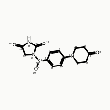 O=C1CCN(c2ccc([S+]([O-])N3CC(=O)NC3=O)cc2)CC1